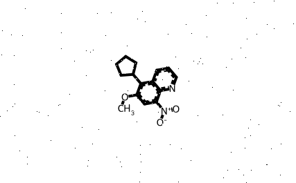 COc1cc([N+](=O)[O-])c2ncccc2c1C1CCCC1